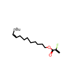 C=C(F)C(=O)OCCCCCCCC/C=C\CCCC